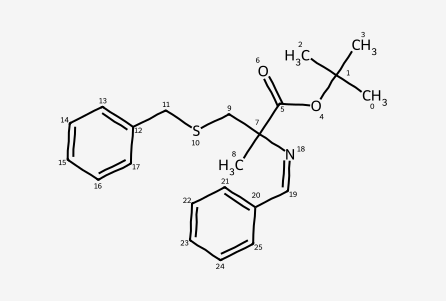 CC(C)(C)OC(=O)C(C)(CSCc1ccccc1)/N=C\c1ccccc1